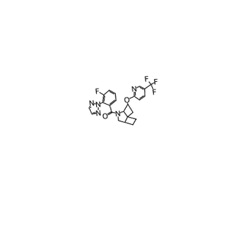 O=C(c1cccc(F)c1-n1nccn1)N1CC2CCC23CC(Oc2ccc(C(F)(F)F)cn2)C13